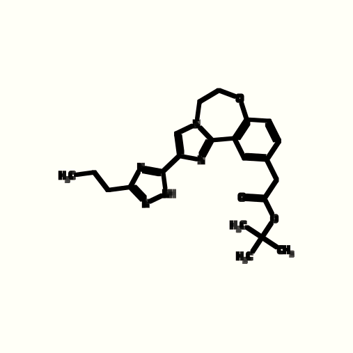 CCCc1n[nH]c(-c2cn3c(n2)-c2cc(CC(=O)OC(C)(C)C)ccc2OCC3)n1